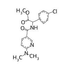 COC(=O)C(NC(=O)c1ccc(N(C)C)nc1)c1ccc(Cl)cc1